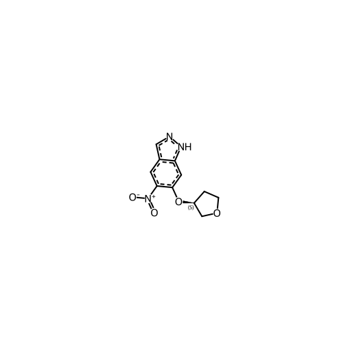 O=[N+]([O-])c1cc2cn[nH]c2cc1O[C@H]1CCOC1